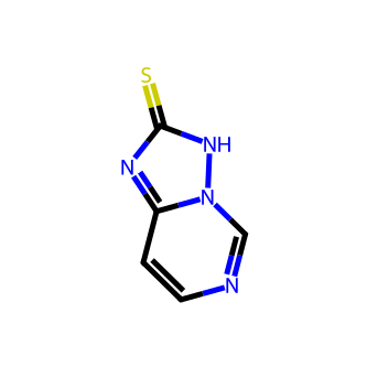 S=c1nc2ccncn2[nH]1